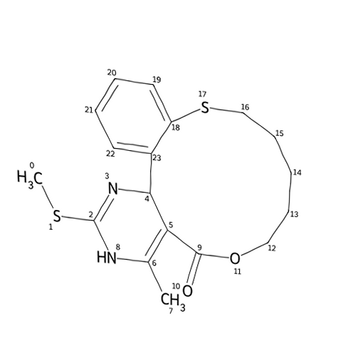 CSC1=NC2C(=C(C)N1)C(=O)OCCCCCSc1ccccc12